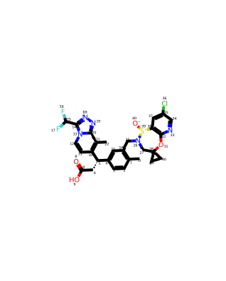 Cc1ccc([C@H](CC(=O)O)c2ccn3c(C(F)F)nnc3c2C)cc1CN1CC2(CC2)Oc2ncc(Cl)cc2[S+]1[O-]